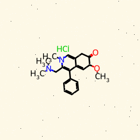 COC1C=C2C(=CN(C)C(CN(C)C)=C2c2ccccc2)CC1=O.Cl